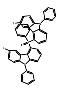 O=P(c1ccccc1)(c1cccc2c1c1cc(F)ccc1n2-c1ccccc1)c1cccc2c1c1cc(F)ccc1n2-c1ccccc1